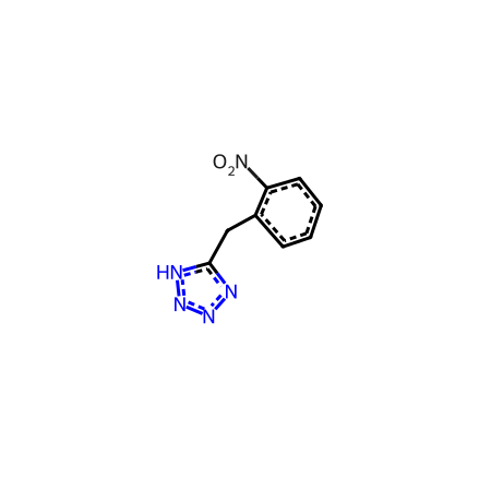 O=[N+]([O-])c1ccccc1Cc1nnn[nH]1